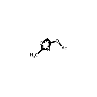 CC(=O)Oc1coc(C)n1